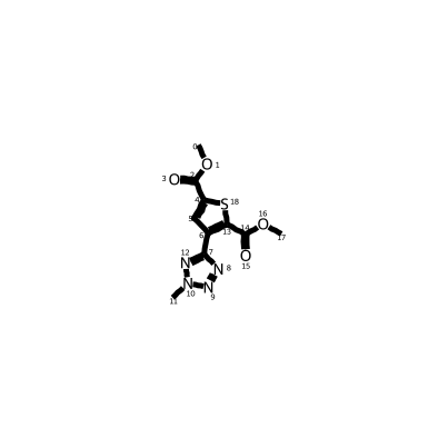 COC(=O)c1cc(-c2nnn(C)n2)c(C(=O)OC)s1